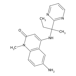 CCC(C)(Nc1cc(=O)n(C)c2ccc(N)cc12)c1ncccn1